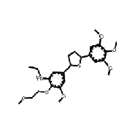 CCNc1cc(C2CCC(c3cc(OC)c(OC)c(OC)c3)S2)cc(OC)c1OCCOC